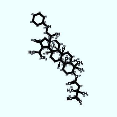 CC(C)C1=C2[C@H]3CC[C@H]4[C@@H](CC[C@H]5C(C)(C)[C@@H](OC(=O)CC(C)(C)C(=O)O)CC[C@]45C)[C@]3(C)CC[C@@]2([C@H](O)CNC2CCCCC2)CC1=O